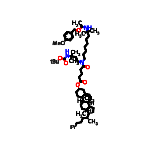 C=C(NC(C)(C)CCCCCCCN(CCC(C)(C)NC(=O)OC(C)(C)C)C(=O)CCCC(=O)O[C@H]1CC[C@@]2(C)C(=CC[C@H]3[C@@H]4CC[C@H]([C@H](C)CCCC(C)C)[C@@]4(C)CC[C@@H]32)C1)OCc1ccc(OC)cc1